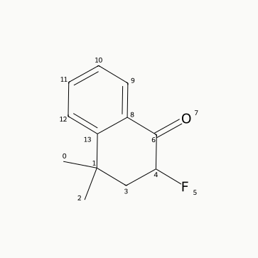 CC1(C)CC(F)C(=O)c2ccccc21